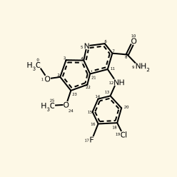 COc1cc2ncc(C(N)=O)c(Nc3ccc(F)c(Cl)c3)c2cc1OC